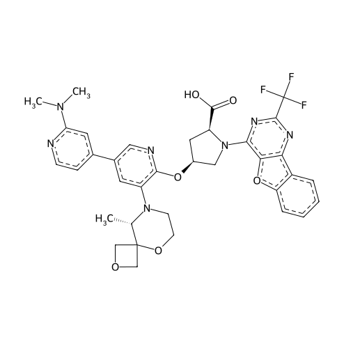 C[C@@H]1N(c2cc(-c3ccnc(N(C)C)c3)cnc2O[C@H]2C[C@@H](C(=O)O)N(c3nc(C(F)(F)F)nc4c3oc3ccccc34)C2)CCOC12COC2